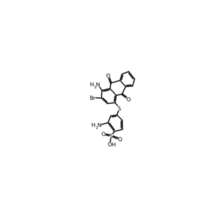 Nc1cc(Sc2cc(Br)c(N)c3c2C(=O)c2ccccc2C3=O)ccc1S(=O)(=O)O